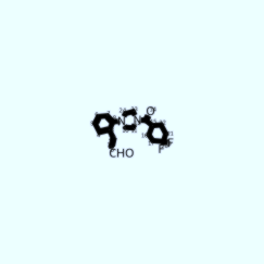 O=C/C=C/c1ccccc1N1CCN(C(=O)C2CCC(F)(F)CC2)CC1